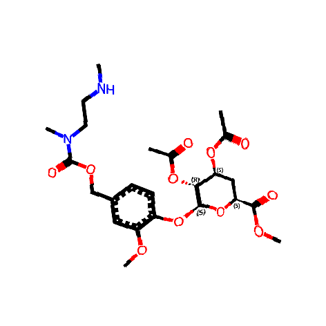 CNCCN(C)C(=O)OCc1ccc(O[C@@H]2O[C@H](C(=O)OC)C[C@H](OC(C)=O)[C@H]2OC(C)=O)c(OC)c1